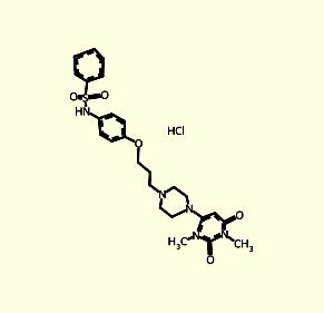 Cl.Cn1c(N2CCN(CCCOc3ccc(NS(=O)(=O)c4ccccc4)cc3)CC2)cc(=O)n(C)c1=O